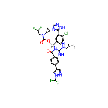 CCNC(=N)N(C(=O)c1ccc(-c2cnn(C(F)F)c2)cc1)[C@H](COC(=O)N(CC(F)F)C1CC1)c1ccc(Cl)c(-c2ncn[nH]2)c1